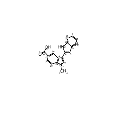 Cn1cc(-c2cc3nccnc3[nH]2)c2cc(C(=O)O)ccc21